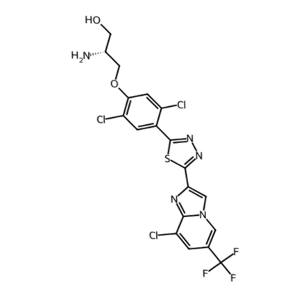 N[C@H](CO)COc1cc(Cl)c(-c2nnc(-c3cn4cc(C(F)(F)F)cc(Cl)c4n3)s2)cc1Cl